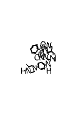 CC1CN(c2ccc(Nc3ncc4cnn(S(=O)(=O)c5ccccc5C#N)c4n3)cc2)CCN1